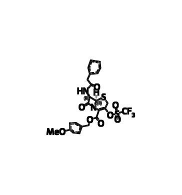 COc1ccc(COC(=O)C2=C(OS(=O)(=O)C(F)(F)F)CS[C@@H]3[C@H](NC(=O)Cc4ccccc4)C(=O)N23)cc1